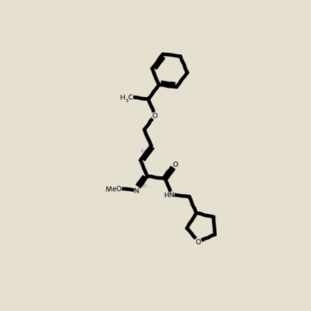 CO/N=C(\C=C\COC(C)C1=CCCC=C1)C(=O)NCC1CCOC1